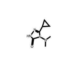 CN(C)n1c(C2CC2)n[nH]c1=O